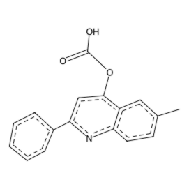 Cc1ccc2nc(-c3ccccc3)cc(OC(=O)O)c2c1